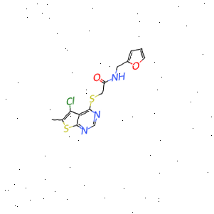 Cc1sc2ncnc(SCC(=O)NCc3ccco3)c2c1Cl